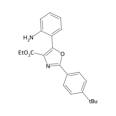 CCOC(=O)c1nc(-c2ccc(C(C)(C)C)cc2)oc1-c1ccccc1N